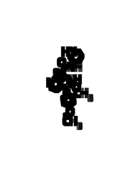 CCOc1ccc(N2C(=O)Nc3c(C(=O)N[C@@H]4CCCNC4)sc4nccc2c34)c(C)c1